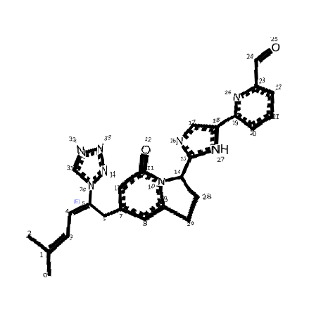 CC(C)=C/C=C(\Cc1cc2n(c(=O)c1)C(c1ncc(-c3cccc(C=O)n3)[nH]1)CC2)n1cnnn1